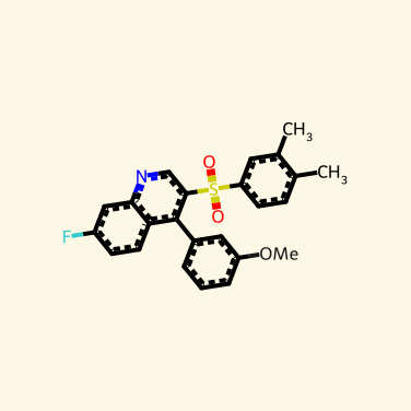 COc1cccc(-c2c(S(=O)(=O)c3ccc(C)c(C)c3)cnc3cc(F)ccc23)c1